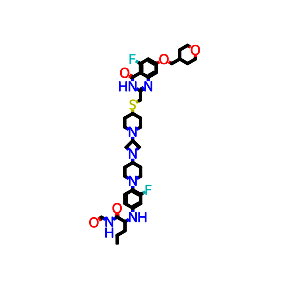 CCCC(Nc1ccc(N2CCC(N3CC(N4CCC(SCc5nc6cc(OCC7CCOCC7)cc(F)c6c(=O)[nH]5)CC4)C3)CC2)c(F)c1)C(=O)NC=O